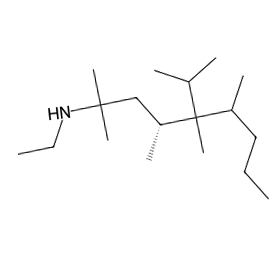 CCCC(C)C(C)(C(C)C)[C@H](C)CC(C)(C)NCC